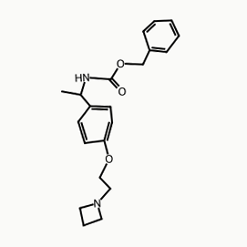 CC(NC(=O)OCc1ccccc1)c1ccc(OCCN2CCC2)cc1